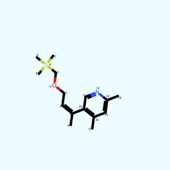 C/C(=C/COCS(C)(C)C)c1cnc(C)cc1C